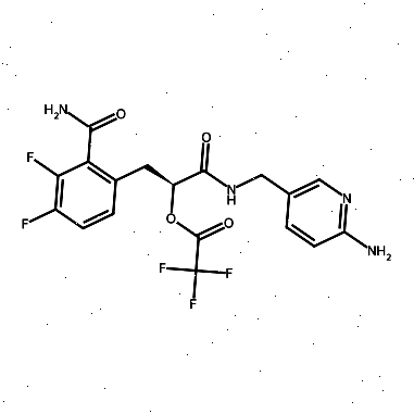 NC(=O)c1c(C[C@H](OC(=O)C(F)(F)F)C(=O)NCc2ccc(N)nc2)ccc(F)c1F